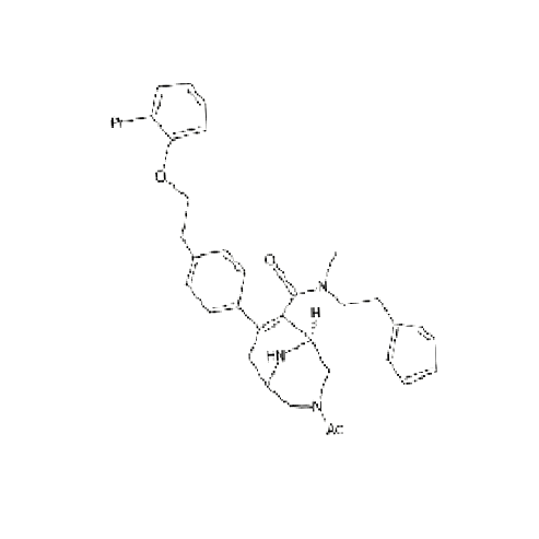 CC(=O)N1CC2CC(c3ccc(CCOc4ccccc4C(C)C)cc3)=C(C(=O)N(C)CCc3ccccc3)[C@@H](C1)N2